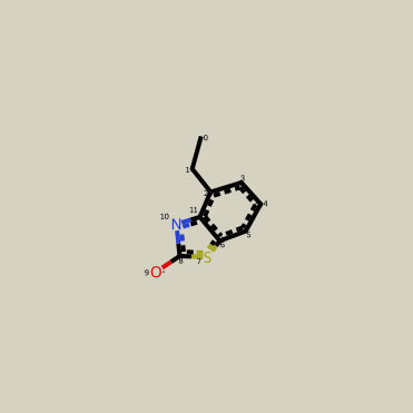 CCc1cccc2sc([O])nc12